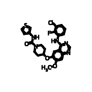 COc1cc2ncnc(Nc3cccc(Cl)c3F)c2cc1OC1CCN(C(=O)Nc2ccsc2)CC1